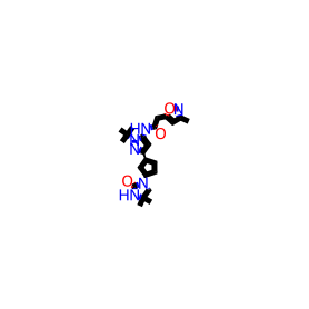 Cc1cc(CC(=O)Nc2cc([C@H]3CC[C@@H](N4CC(C)(C)NC4=O)C3)nn2C(C)(C)C)on1